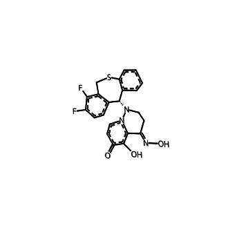 O=c1ccn2c(c1O)/C(=N/O)CCN2[C@H]1c2ccccc2SCc2c1ccc(F)c2F